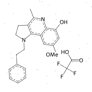 COc1cc(O)c2nc(C)c3c(c2c1)N(CCc1ccccc1)CC3.O=C(O)C(F)(F)F